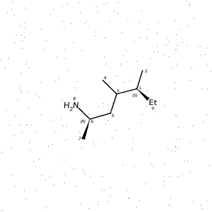 CC[C@H](C)C(C)C[C@@H](C)N